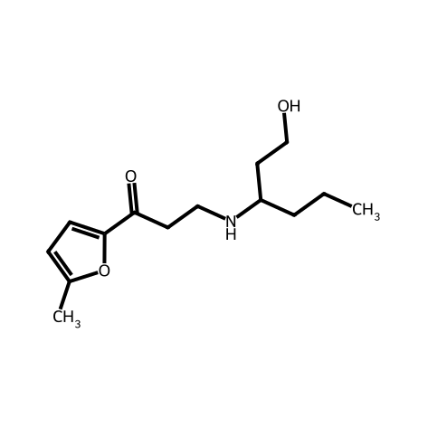 CCCC(CCO)NCCC(=O)c1ccc(C)o1